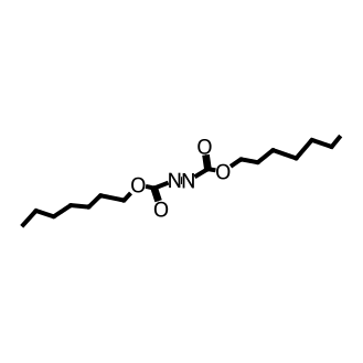 CCCCCCCOC(=O)N=NC(=O)OCCCCCCC